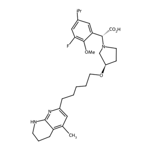 COc1c(F)cc(C(C)C)cc1[C@H](C(=O)O)N1CC[C@@H](OCCCCCc2cc(C)c3c(n2)NCCC3)C1